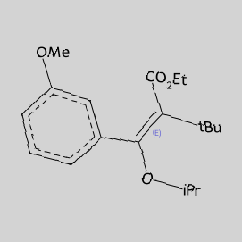 CCOC(=O)/C(=C(/OC(C)C)c1cccc(OC)c1)C(C)(C)C